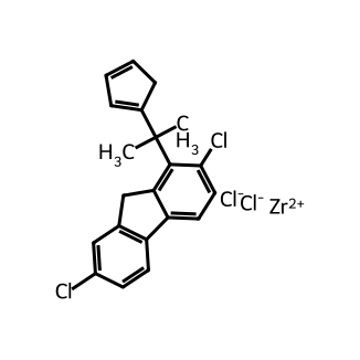 CC(C)(C1=CC=CC1)c1c(Cl)ccc2c1Cc1cc(Cl)ccc1-2.[Cl-].[Cl-].[Zr+2]